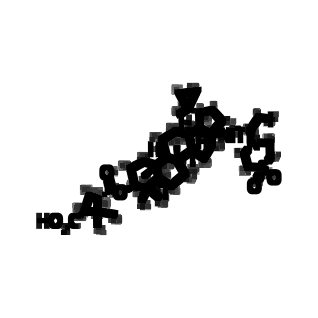 CC1([C@@H]2CC[C@]3(NC[C@H](CF)N4CCS(=O)(=O)CC4)CC[C@]4(C)[C@H](CC[C@@H]5[C@@]6(C)CC[C@H](OC(=O)[C@H]7C[C@@H](C(=O)O)C7(C)C)C(C)(C)[C@@H]6CC[C@]54C)[C@@H]23)CC1